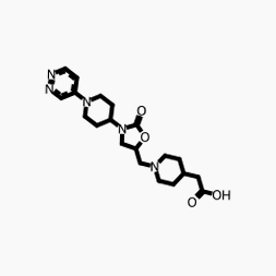 O=C(O)CC1CCN(CC2CN(C3CCN(c4ccnnc4)CC3)C(=O)O2)CC1